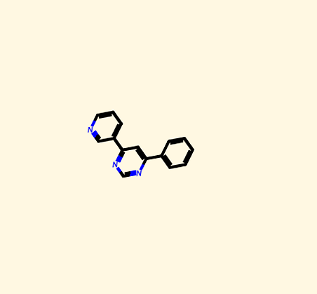 c1ccc(-c2cc(-c3cccnc3)ncn2)cc1